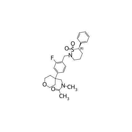 CC(=O)N(C)CC1(c2ccc(CN3CCC[C@H](c4ccccc4)S3(=O)=O)c(F)c2)CCOCC1